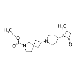 CCOC(=O)N1CCC2(CC(N3CCC(N4C(=O)C[C@H]4C)CC3)C2)C1